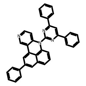 c1ccc(-c2cc3c4c(cccc4c2)N(c2nc(-c4ccccc4)cc(-c4ccccc4)n2)c2ccncc2-3)cc1